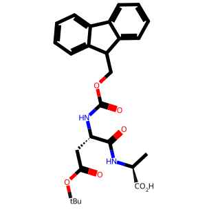 C[C@H](NC(=O)[C@H](CC(=O)OC(C)(C)C)NC(=O)OCC1c2ccccc2-c2ccccc21)C(=O)O